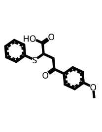 COc1ccc(C(=O)CC(Sc2ccccc2)C(=O)O)cc1